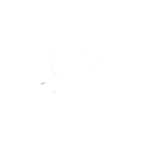 CN1CCC[C@]2(CC[C@H](c3cc(-c4ccc(F)cc4)ccn3)N2)C1=O